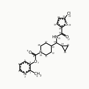 Cc1ncccc1OC(=O)N1CCC(C(NC(=O)c2ccc(Cl)s2)C2CC2)CC1